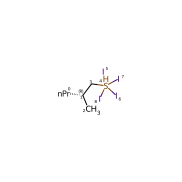 CCC[C@@H](C)C[SH](I)(I)(I)I